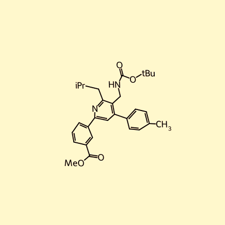 COC(=O)c1cccc(-c2cc(-c3ccc(C)cc3)c(CNC(=O)OC(C)(C)C)c(CC(C)C)n2)c1